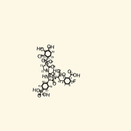 O=C(O)c1c(F)ccc2c1OB(O)C(NC(=O)C(NC(=O)N1CCN(S(=O)(=O)c3ccc(O)c(O)c3Cl)C1=O)c1ccc(P(=O)(O)O)cc1)C2